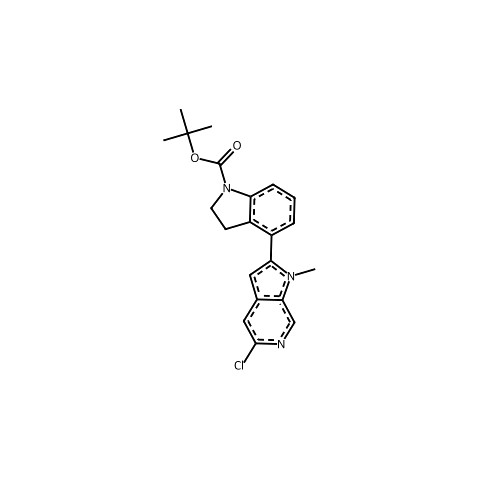 Cn1c(-c2cccc3c2CCN3C(=O)OC(C)(C)C)cc2cc(Cl)ncc21